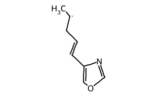 C[CH]CC=Cc1cocn1